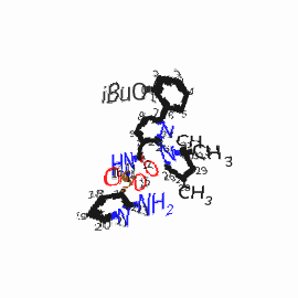 CC(C)COc1ccccc1-c1ccc(C(=O)NS(=O)(=O)c2cccnc2N)c(N2C[C@@H](C)CC2(C)C)n1